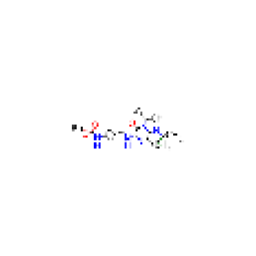 C=C(Cl)/N=C1\C(=C/C)N=C(NCC2CC(NC(=O)OC(C)(C)C)C2)C(=O)N1C(C)C1CC1